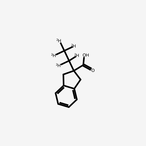 [2H]C([2H])([2H])C([2H])([2H])C1(C(=O)O)Cc2ccccc2C1